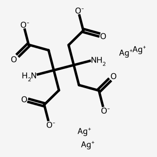 NC(CC(=O)[O-])(CC(=O)[O-])C(N)(CC(=O)[O-])CC(=O)[O-].[Ag+].[Ag+].[Ag+].[Ag+]